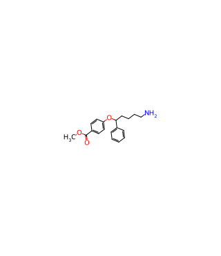 COC(=O)c1ccc(OC(CCCCN)c2ccccc2)cc1